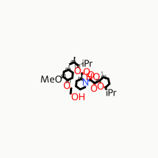 CO[C@@H]1C[C@H](C[C@@H](C)[C@@H](OC(=O)[C@@H]2CCCCN2C(=O)C(=O)[C@]2(O)OC(C(C)C)CC[C@H]2C)C(C)C)CC[C@H]1OCCO